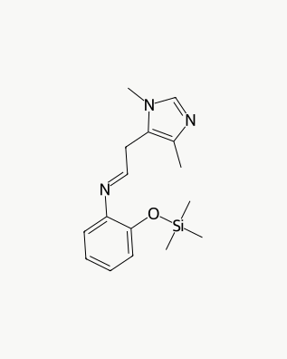 Cc1ncn(C)c1CC=Nc1ccccc1O[Si](C)(C)C